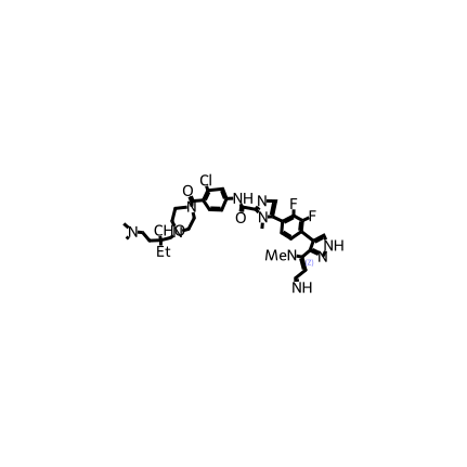 CCC(C=O)(CCN(C)C)CN1CCN(C(=O)c2ccc(NC(=O)c3ncc(-c4ccc(-c5c[nH]nc5/C(=C/C=N)NC)c(F)c4F)n3C)cc2Cl)CC1